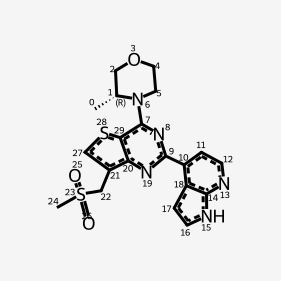 C[C@@H]1COCCN1c1nc(-c2ccnc3[nH]ccc23)nc2c(CS(C)(=O)=O)csc12